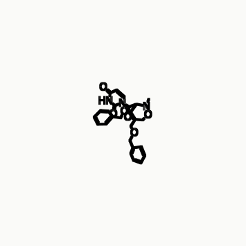 CN1OCC2(COCc3ccccc3)OC(n3ccc(=O)[nH]c3=O)C1C2OCc1ccccc1